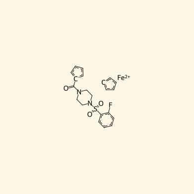 O=C([c-]1cccc1)N1CCN(S(=O)(=O)c2ccccc2F)CC1.[Fe+2].c1cc[cH-]c1